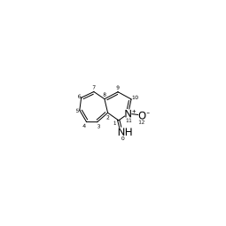 N=c1c2cccccc-2cc[n+]1[O-]